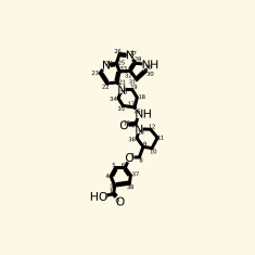 O=C(O)c1ccc(OCC2CCCN(C(=O)NC3CCN(c4ccnc5cnc6[nH]ccc6c45)CC3)C2)cc1